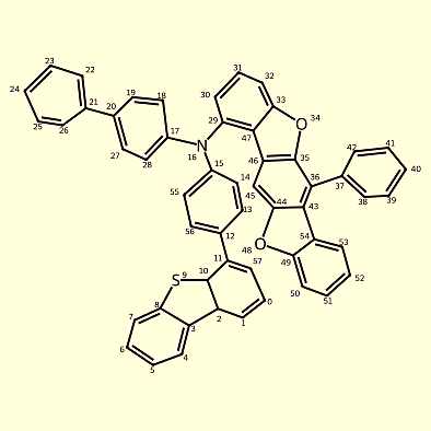 C1=CC2c3ccccc3SC2C(c2ccc(N(c3ccc(-c4ccccc4)cc3)c3cccc4oc5c(-c6ccccc6)c6c(cc5c34)oc3ccccc36)cc2)=C1